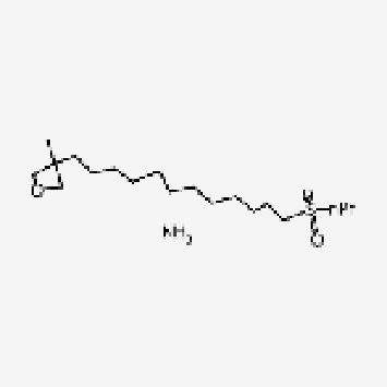 CCCS(=O)(=O)CCCCCCCCCCCCC1(C)COC1.N